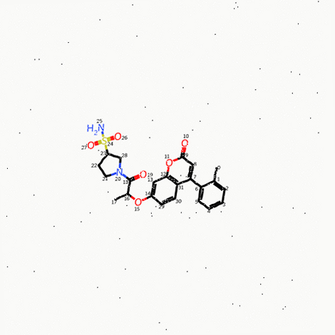 Cc1ccccc1-c1cc(=O)oc2cc(OC(C)C(=O)N3CCC(S(N)(=O)=O)C3)ccc12